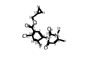 Cc1cc(=O)n(-c2cc(C(=O)OCC3CC3)c(Cl)cc2F)c(=O)n1C